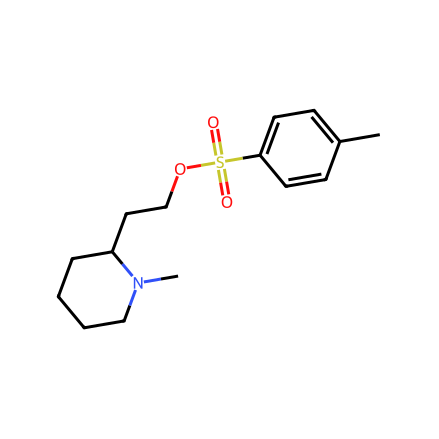 Cc1ccc(S(=O)(=O)OCCC2CCCCN2C)cc1